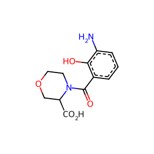 Nc1cccc(C(=O)N2CCOCC2C(=O)O)c1O